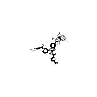 CC#CC(=O)N1CCCC(n2c(NC(=O)c3ccc(C(F)F)s3)nc3cc(CN[C@@H](C)C(C)(C)C)ccc32)C1